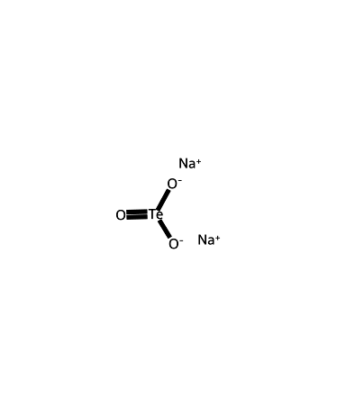 O=[Te]([O-])[O-].[Na+].[Na+]